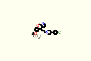 CC(C)(Oc1ccc2c(c1)/C(=C/CCN1CCC(c3ccc(Cl)cc3)CC1)c1cccnc1CO2)C(=O)O